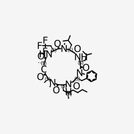 CCCC[C@@H](C)C[C@@H]1NC(=O)[C@H](Cc2ccccc2)N(C)C(=O)[C@H](CC(C)C)NC(=O)[C@H](CC(C)C)N(C)C(=O)[C@H](CC(F)(F)F)NC(=O)[C@@H](C)CC(=O)[C@H](C)N(C)C1=O